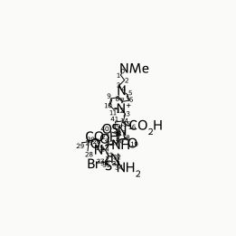 CNCCCn1ccc2c1ccc[n+]2CC1=C(C(=O)O)N2C(=O)C(NC(=O)/C(=N\OC(C)(C)C(=O)O)c3nc(N)sc3Br)C2[S+]([O-])C1